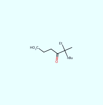 CCCCC(C)(CC)C(=O)CCC(=O)O